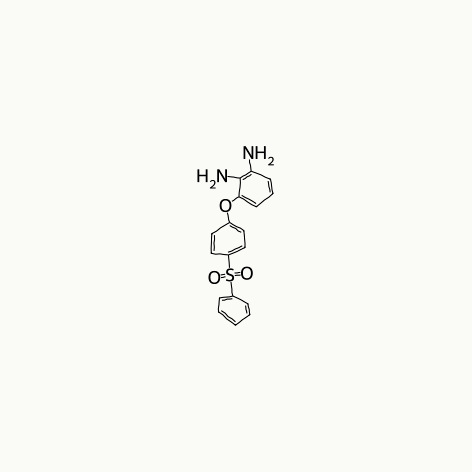 Nc1cccc(Oc2ccc(S(=O)(=O)c3ccccc3)cc2)c1N